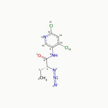 CC[C@@H](N=[N+]=[N-])C(=O)Nc1cnc(Cl)cc1Cl